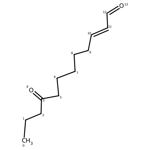 CCCC(=O)CCCCCC=CC=O